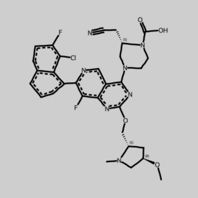 CO[C@@H]1C[C@@H](COc2nc(N3CCN(C(=O)O)[C@@H](CC#N)C3)c3cnc(-c4cccc5ccc(F)c(Cl)c45)c(F)c3n2)N(C)C1